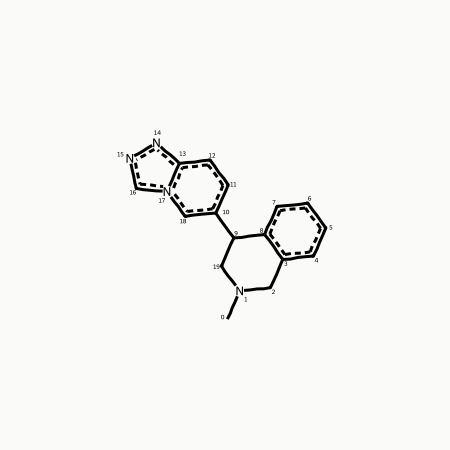 CN1Cc2ccccc2C(c2ccc3nncn3c2)C1